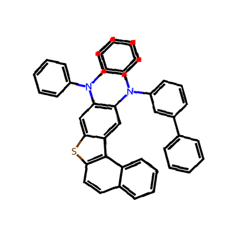 c1ccc(-c2cccc(N(c3ccccc3)c3cc4c(cc3N(c3ccccc3)c3ccccc3)sc3ccc5ccccc5c34)c2)cc1